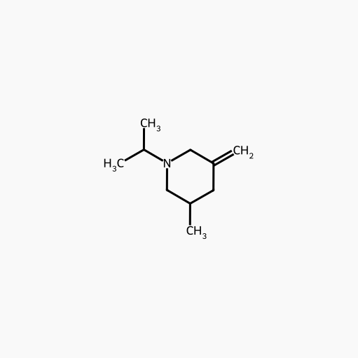 C=C1CC(C)CN(C(C)C)C1